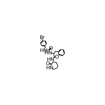 O=C(Nc1ccc(Br)cc1)NC(Cc1ccccc1)C(=O)N[C@@H]1CCCCNC1=O